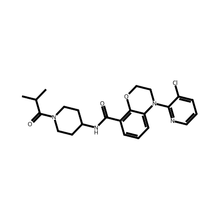 CC(C)C(=O)N1CCC(NC(=O)c2cccc3c2OCCN3c2ncccc2Cl)CC1